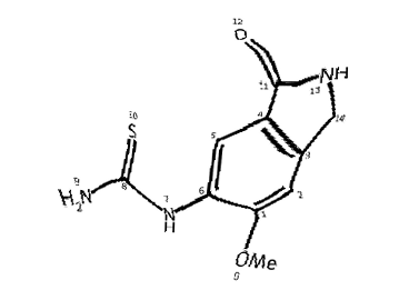 COc1cc2c(cc1NC(N)=S)C(=O)NC2